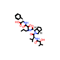 CCCC(NC(=O)[C@@H]1[C@H]2CCC[C@H]2CN1C(=O)[C@@H](NC(=O)C(O)C(C)C)C(C)C)C(=O)C(=O)N[C@@H](Cc1ccccc1)C(=O)O